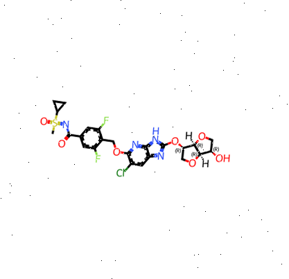 CS(=O)(=NC(=O)c1cc(F)c(COc2nc3[nH]c(O[C@@H]4CO[C@H]5[C@@H]4OC[C@H]5O)nc3cc2Cl)c(F)c1)C1CC1